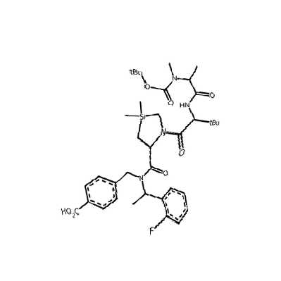 CC(C(=O)NC(C(=O)N1C[Si](C)(C)CC1C(=O)N(Cc1ccc(C(=O)O)cc1)C(C)c1ccccc1F)C(C)(C)C)N(C)C(=O)OC(C)(C)C